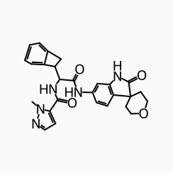 Cn1nccc1C(=O)NC(C(=O)Nc1ccc2c(c1)NC(=O)C21CCOCC1)C1Cc2ccccc21